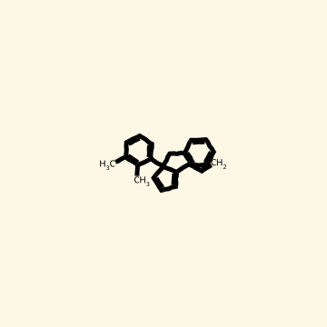 C=CCC1=CC=CC1(Cc1ccccc1)c1cccc(C)c1C